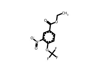 CCOC(=O)c1ccc(OC(F)(F)F)c([N+](=O)[O-])c1